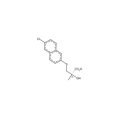 C[C@](O)(CSc1ccc2cc(Cl)ccc2c1)C(=O)O